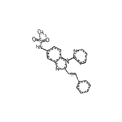 CS(=O)(=O)Nc1ccc2c(c1)nc(/C=C/c1ccccc1)n2-c1ccccn1